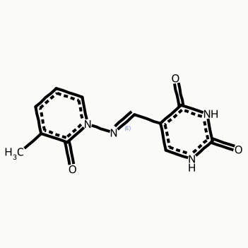 Cc1cccn(/N=C/c2c[nH]c(=O)[nH]c2=O)c1=O